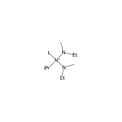 CCN(C)[N+](I)(C(C)C)N(C)CC